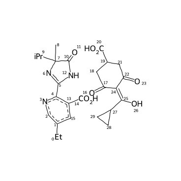 CCc1cnc(C2=NC(C)(C(C)C)C(=O)N2)c(C(=O)O)c1.O=C1CC(C(=O)O)CC(=O)C1=C(O)C1CC1